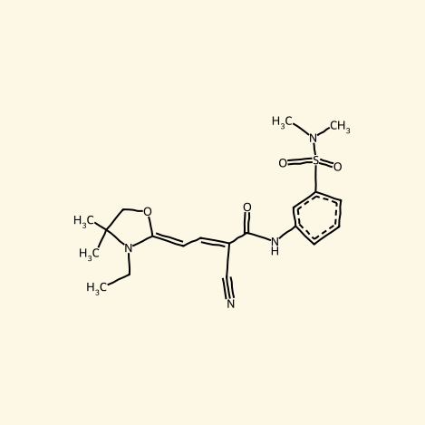 CCN1C(=CC=C(C#N)C(=O)Nc2cccc(S(=O)(=O)N(C)C)c2)OCC1(C)C